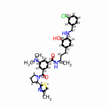 Cc1csc([C@H]2CCCN2C(=O)c2cc(C(=O)N[C@@H](C)CCc3ccc(NCc4cccc(Cl)c4)c(O)c3)cc(N(C)C)c2)n1